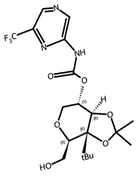 CC1(C)O[C@@H]2[C@@H](OC(=O)Nc3cncc(C(F)(F)F)n3)CO[C@H](CO)[C@@]2(C(C)(C)C)O1